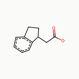 [O]C(=O)CC1CCc2ccccc21